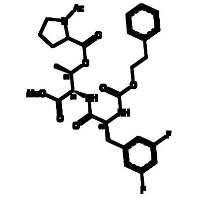 COC(=O)[C@@H](NC(=O)[C@H](Cc1cc(F)cc(F)c1)NC(=O)OCCc1ccccc1)[C@@H](C)OC(=O)C1CCCN1C(C)=O